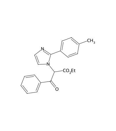 CCOC(=O)C(C(=O)c1ccccc1)n1ccnc1-c1ccc(C)cc1